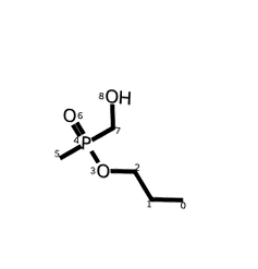 CCCOP(C)(=O)CO